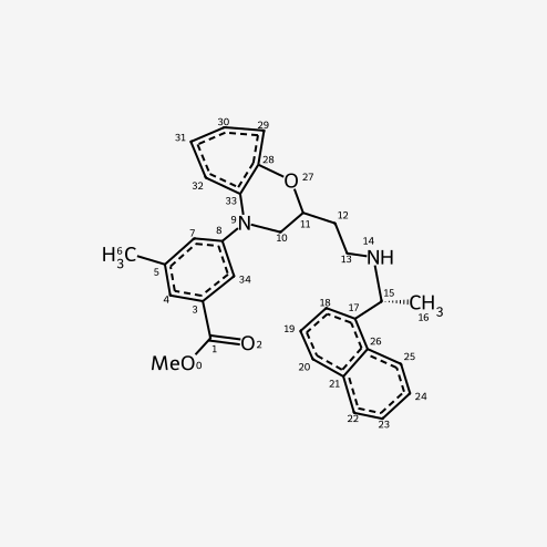 COC(=O)c1cc(C)cc(N2CC(CCN[C@H](C)c3cccc4ccccc34)Oc3ccccc32)c1